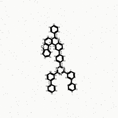 c1ccc(-c2cccc(-c3nc(-c4ccc(-c5ccc6nc(-c7ccccc7)c7ccc8oc9ccccc9c8c7c6c5)cc4)nc(-c4cccc(-c5ccccc5)c4)n3)c2)cc1